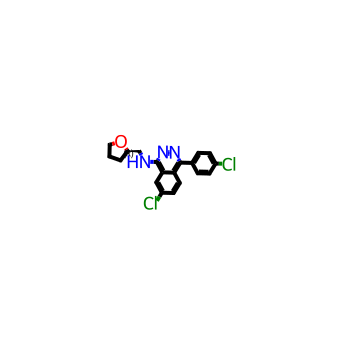 Clc1ccc(-c2nnc(NC[C@H]3CCCO3)c3cc(Cl)ccc23)cc1